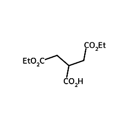 CCOC(=O)CC(CC(=O)OCC)C(=O)O